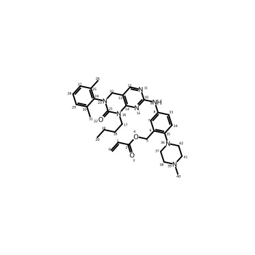 C=CC(=O)OCc1cc(Nc2ncc3c(n2)N(CCCC)C(=O)N(c2c(C)cccc2C)C3)ccc1N1CCN(C)CC1